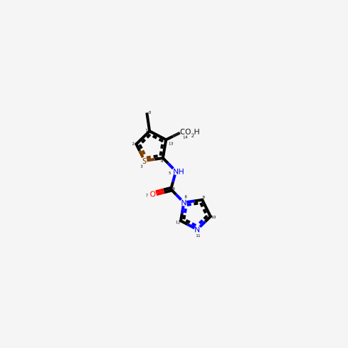 Cc1csc(NC(=O)n2ccnc2)c1C(=O)O